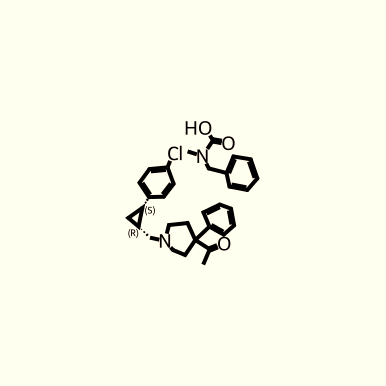 CC(=O)C1(c2ccccc2)CCN(C[C@@H]2C[C@@H]2c2ccc(Cl)cc2)CC1.CN(Cc1ccccc1)C(=O)O